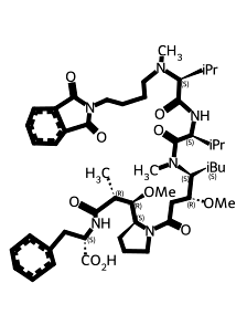 CC[C@H](C)[C@@H]([C@@H](CC(=O)N1CCC[C@H]1[C@H](OC)[C@@H](C)C(=O)N[C@@H](Cc1ccccc1)C(=O)O)OC)N(C)C(=O)[C@@H](NC(=O)[C@H](C(C)C)N(C)CCCCN1C(=O)c2ccccc2C1=O)C(C)C